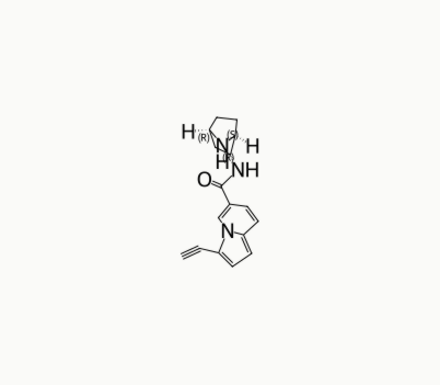 C#Cc1ccc2ccc(C(=O)N[C@@H]3C[C@H]4CC[C@@H]3N4)cn12